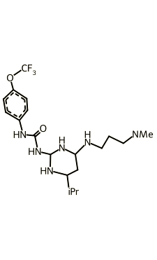 CNCCCNC1CC(C(C)C)NC(NC(=O)Nc2ccc(OC(F)(F)F)cc2)N1